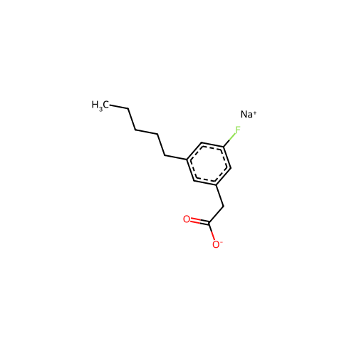 CCCCCc1cc(F)cc(CC(=O)[O-])c1.[Na+]